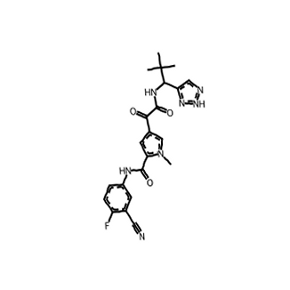 Cn1cc(C(=O)C(=O)NC(c2cn[nH]n2)C(C)(C)C)cc1C(=O)Nc1ccc(F)c(C#N)c1